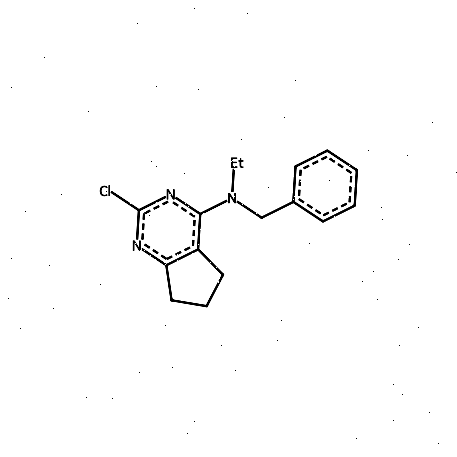 CCN(Cc1ccccc1)c1nc(Cl)nc2c1CCC2